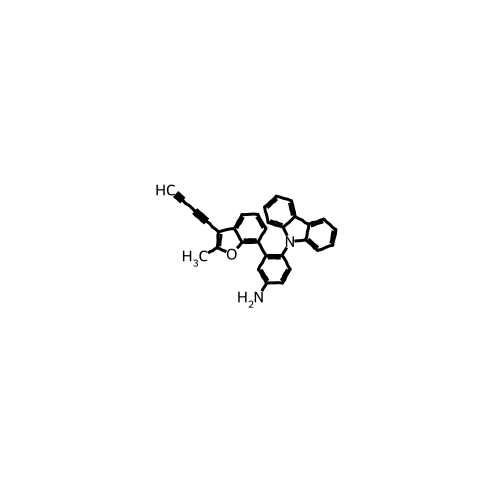 C#CC#Cc1c(C)oc2c(-c3cc(N)ccc3-n3c4ccccc4c4ccccc43)cccc12